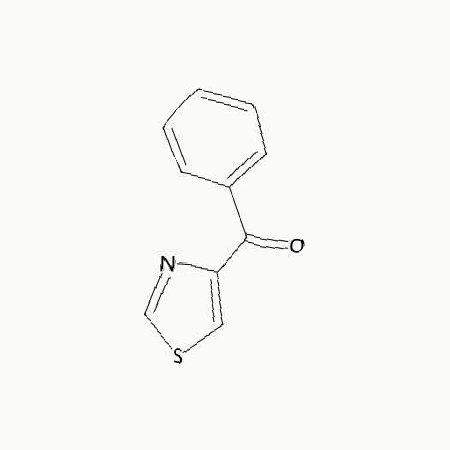 O=C(c1ccccc1)c1cscn1